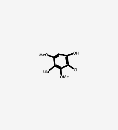 COc1cc(O)c(Cl)c(OC)c1C(C)(C)C